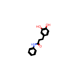 O=C(CCc1ccc(O)c(O)c1)Nc1ccccc1